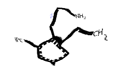 C=Cc1cccc(C(C)C)c1/C=C\N